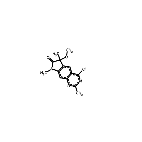 COC1(C)C(=O)N(C)c2cc3nc(C)nc(Cl)c3cc21